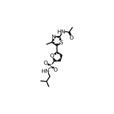 CC(=O)Nc1nc(C)c(-c2ccc(S(=O)(=O)NCC(C)C)o2)s1